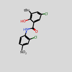 CC(C)(C)c1cc(Cl)cc(C(=O)Nc2ccc([N+](=O)[O-])cc2Cl)c1O